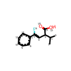 CC(C)C(C=C(F)c1ccccc1)C(=O)O